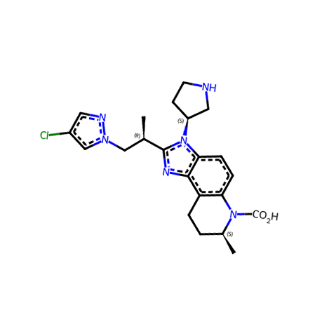 C[C@H](Cn1cc(Cl)cn1)c1nc2c3c(ccc2n1[C@H]1CCNC1)N(C(=O)O)[C@@H](C)CC3